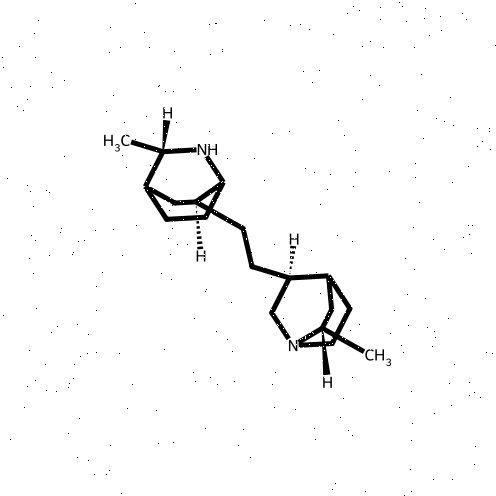 C[C@@H]1NC2CCC1C[C@@H]2CC[C@@H]1CN2CCC1C[C@@H]2C